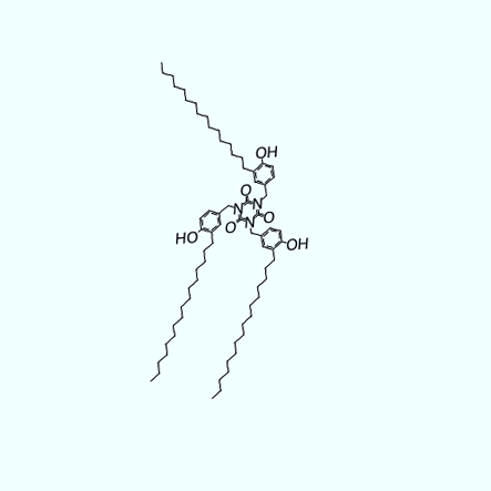 CCCCCCCCCCCCCCCCc1cc(Cn2c(=O)n(Cc3ccc(O)c(CCCCCCCCCCCCCCCC)c3)c(=O)n(Cc3ccc(O)c(CCCCCCCCCCCCCCCC)c3)c2=O)ccc1O